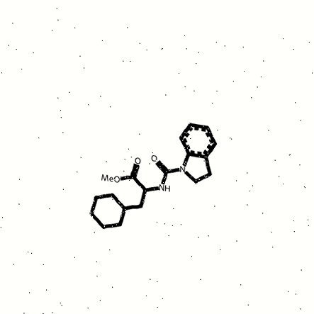 COC(=O)C(CC1CCCCC1)NC(=O)N1CCc2ccccc21